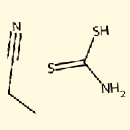 CCC#N.NC(=S)S